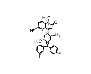 C[C@@H]1CN(c2cc(=O)n(C)c3ccc(C#N)nc23)[C@@H](C)CN1C(c1ccc(F)cc1)c1cccc(F)c1